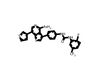 O=C(Nc1ccc(-c2csc3c(-c4ccsc4)cnc([AsH2])c23)cc1)Nc1cc(C(F)(F)F)ccc1F